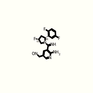 N=C(c1cc(CN=O)cnc1N)N1C[C@@H](F)C[C@@H]1c1cc(F)ccc1F